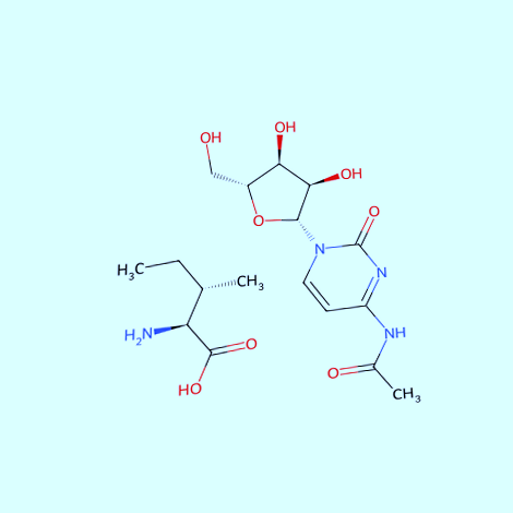 CC(=O)Nc1ccn([C@@H]2O[C@H](CO)[C@@H](O)[C@H]2O)c(=O)n1.CC[C@H](C)[C@H](N)C(=O)O